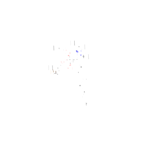 CCCCCCCC([N+](C)(C)C)[Si](OC)(OC)OC.[Br-]